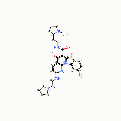 CN1CCCC1CCNC(=O)c1c(=O)c2ccc(NCCN3CCCC3)nc2n2c1sc1ccc(Cl)cc12